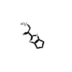 O=C(O)CC(=O)c1nc2c(s1)CCC2